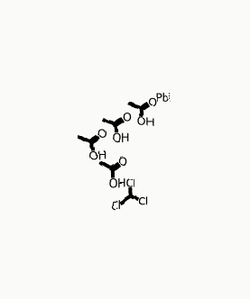 CC(=O)O.CC(=O)O.CC(=O)O.CC(=O)O.ClC(Cl)Cl.[Pb]